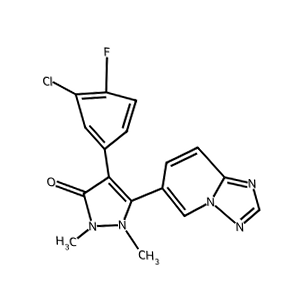 Cn1c(-c2ccc3ncnn3c2)c(-c2ccc(F)c(Cl)c2)c(=O)n1C